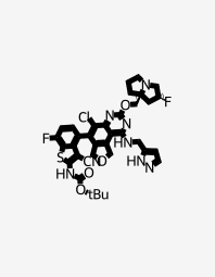 CC(C)(C)OC(=O)Nc1sc2c(F)ccc(-c3c4c(c5c(NCc6ccn[nH]6)nc(OC[C@@]67CCCN6C[C@H](F)C7)nc5c3Cl)COC4)c2c1C#N